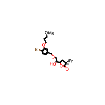 COCCCOc1cc(COC[C@@H](O)C2C[C@@H](C(C)C)C(=O)O2)ccc1Br